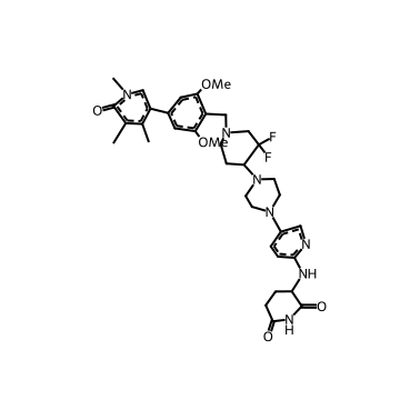 COc1cc(-c2cn(C)c(=O)c(C)c2C)cc(OC)c1CN1CCC(N2CCN(c3ccc(NC4CCC(=O)NC4=O)nc3)CC2)C(F)(F)C1